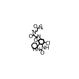 CN(C)C(=O)CN(C)C(=O)c1nc2cc(Cl)c3c(c2o1)C1(CCCCC1)NC(=O)N3